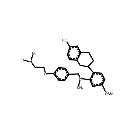 CCN(CC)CCOc1ccc(CN(C)c2cc(OC)ccc2C2CCc3cc(O)ccc3C2)cc1